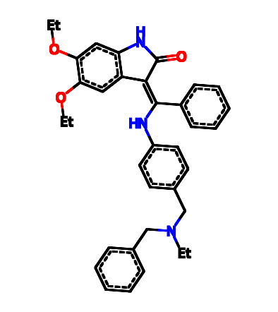 CCOc1cc2c(cc1OCC)C(=C(Nc1ccc(CN(CC)Cc3ccccc3)cc1)c1ccccc1)C(=O)N2